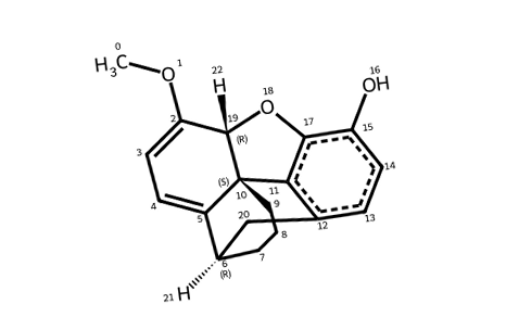 COC1=CC=C2[C@@H]3CCC[C@@]24c2c(ccc(O)c2O[C@@H]14)C3